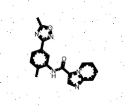 Cc1nc(-c2ccc(C)c(NC(=O)c3cnc4ccccn34)c2)no1